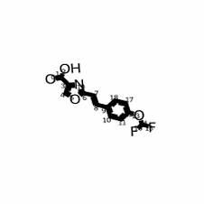 O=C(O)c1coc(C=Cc2ccc(OC(F)F)cc2)n1